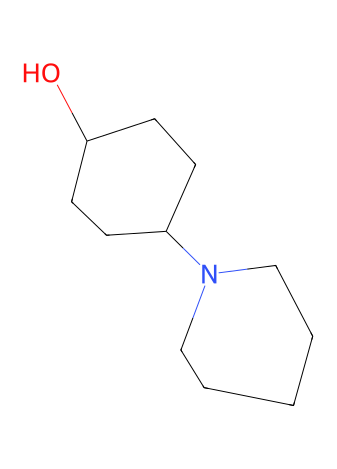 OC1CCC(N2CCCCC2)CC1